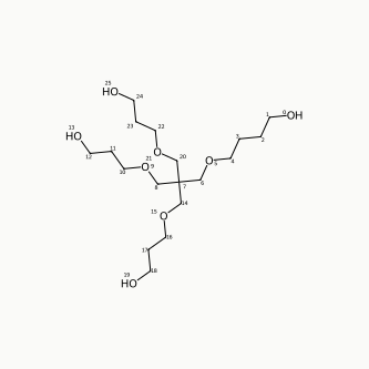 OCCCCOCC(COCCCO)(COCCCO)COCCCO